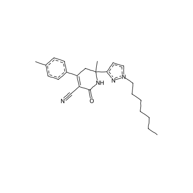 CCCCCCCn1ccc(C2(C)CC(c3ccc(C)cc3)=C(C#N)C(=O)N2)n1